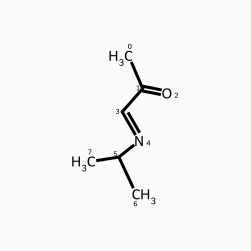 CC(=O)C=NC(C)C